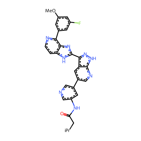 COc1cc(F)cc(-c2nccc3[nH]c(-c4n[nH]c5ncc(-c6cncc(NC(=O)CC(C)C)c6)cc45)nc23)c1